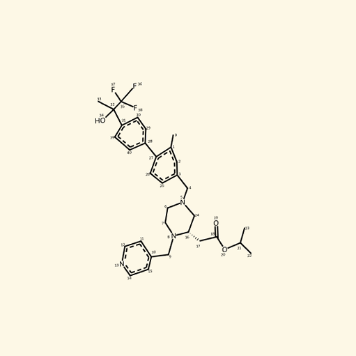 Cc1cc(CN2CCN(Cc3ccncc3)[C@@H](CC(=O)OC(C)C)C2)ccc1-c1ccc(C(C)(O)C(F)(F)F)cc1